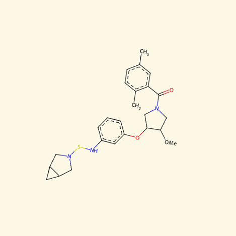 COC1CN(C(=O)c2cc(C)ccc2C)CC1Oc1cccc(NSN2CC3CC3C2)c1